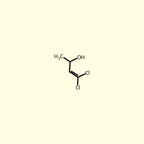 CC(O)C=C(Cl)Cl